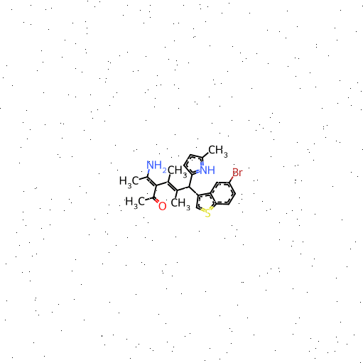 CC(=O)C(=C(\C)N)/C(C)=C(\C)C(c1ccc(C)[nH]1)c1csc2ccc(Br)cc12